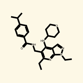 CCc1nc2c(cnn2CC)c(NC2CCOCC2)c1CNC(=O)c1ccc(C(C)C)cc1